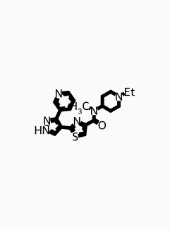 CCN1CCC(N(C)C(=O)c2csc(-c3c[nH]nc3-c3cccnc3)n2)CC1